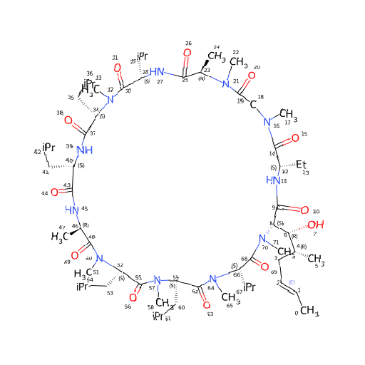 C/C=C/C[C@@H](C)[C@@H](O)[C@H]1C(=O)N[C@@H](CC)C(=O)N(C)CC(=O)N(C)[C@H](C)C(=O)N[C@@H](C(C)C)C(=O)N(C)[C@@H](CC(C)C)C(=O)N[C@@H](CC(C)C)C(=O)N[C@H](C)C(=O)N(C)[C@@H](CC(C)C)C(=O)N(C)[C@@H](CC(C)C)C(=O)N(C)[C@@H](C(C)C)C(=O)N1C